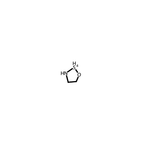 C1CO[SH4]N1